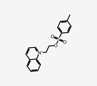 Cc1ccc(S(=O)(=O)OCC[n+]2cccc3ccccc32)cc1